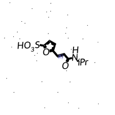 CC(C)NC(=O)/C=C/c1ccc(S(=O)(=O)O)o1